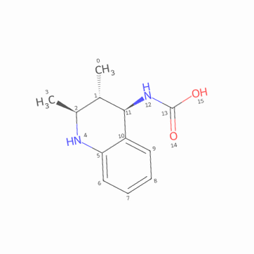 C[C@H]1[C@H](C)Nc2ccccc2[C@@H]1NC(=O)O